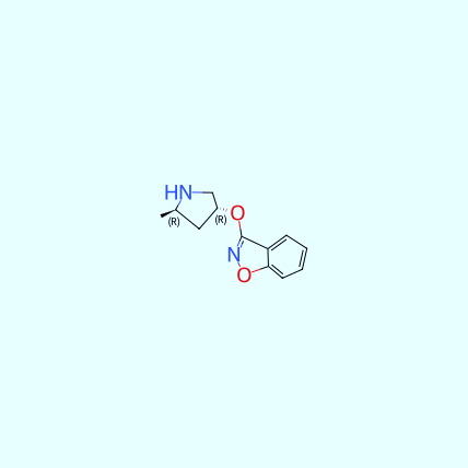 C[C@@H]1C[C@@H](Oc2noc3ccccc23)CN1